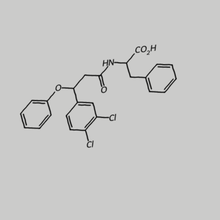 O=C(CC(Oc1ccccc1)c1ccc(Cl)c(Cl)c1)NC(Cc1ccccc1)C(=O)O